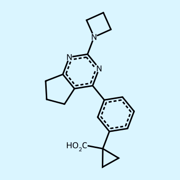 O=C(O)C1(c2cccc(-c3nc(N4CCC4)nc4c3CCC4)c2)CC1